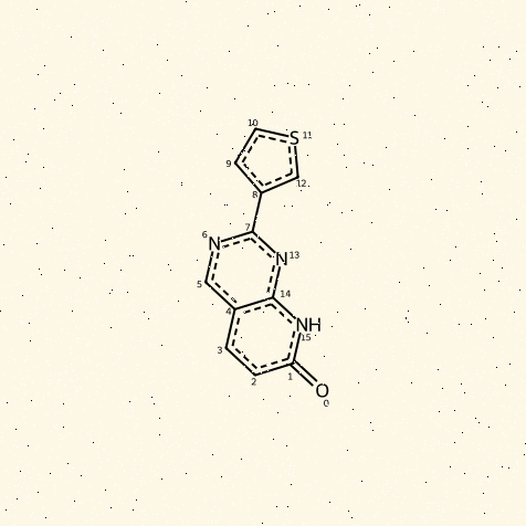 O=c1ccc2cnc(-c3ccsc3)nc2[nH]1